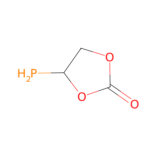 O=C1OCC(P)O1